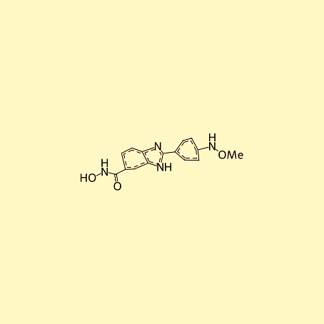 CONc1ccc(-c2nc3ccc(C(=O)NO)cc3[nH]2)cc1